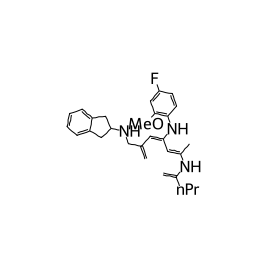 C=C(/C=C(\C=C(/C)NC(=C)CCC)Nc1ccc(F)cc1OC)CNC1Cc2ccccc2C1